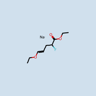 CCOC=CCC(F)C(=O)OCC.[Na]